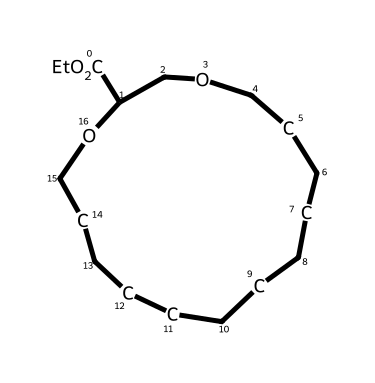 CCOC(=O)C1COCCCCCCCCCCCCO1